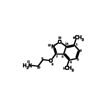 Cc1ccc(C)c2c(OCCN)noc12